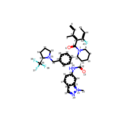 C=C/C(C)=C(C(=O)N1CCC[C@H](C(=O)Nc2ccc3cnn(C)c3c2)[C@@H]1c1ccc(CN2CCC[C@@H]2C(F)(F)F)cc1)\C(F)=C/C